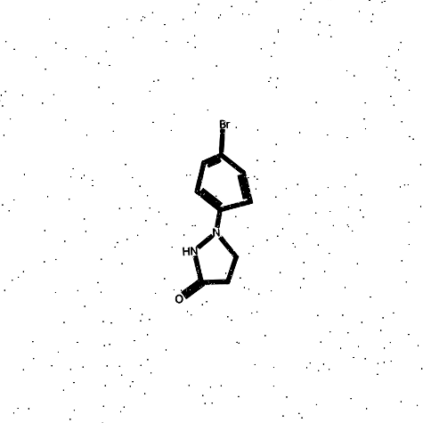 O=C1CCN(c2ccc(Br)cc2)N1